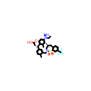 CCN(N)c1ccc([C@@H](CC(=O)O)c2ccc(C)c(CN3C[C@@H](C)Cc4ccc(C(F)(F)F)cc4S3(=O)=O)c2)c(C)c1